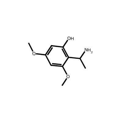 COc1cc(O)c(C(C)N)c(OC)c1